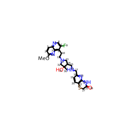 COc1ccc2ncc(F)c(CCN3CC(CNCc4ccc5c(n4)NC(=O)CS5)C(C)(O)C3)c2n1